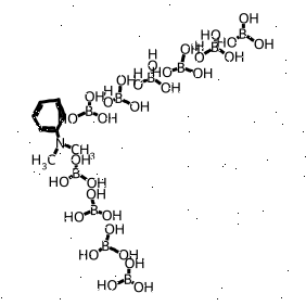 CN(C)c1ccccc1.OB(O)O.OB(O)O.OB(O)O.OB(O)O.OB(O)O.OB(O)O.OB(O)O.OB(O)O.OB(O)O.OB(O)O